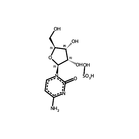 Nc1ccn([C@H]2O[C@@H](CO)[C@H](O)[C@@H]2O)c(=O)n1.O=S(=O)(O)O